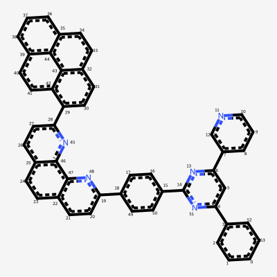 c1ccc(-c2cc(-c3cccnc3)nc(-c3ccc(-c4ccc5ccc6ccc(-c7ccc8ccc9cccc%10ccc7c8c9%10)nc6c5n4)cc3)n2)cc1